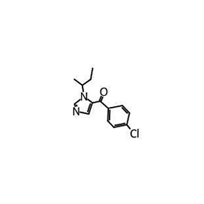 CCC(C)n1cncc1C(=O)c1ccc(Cl)cc1